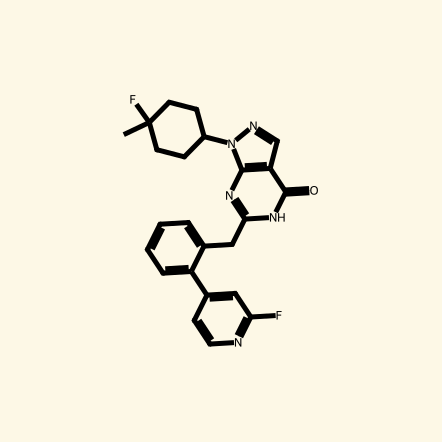 CC1(F)CCC(n2ncc3c(=O)[nH]c(Cc4ccccc4-c4ccnc(F)c4)nc32)CC1